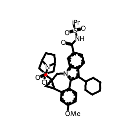 COc1ccc2c(c1)C1CC1(C(=O)N1C3CCC1CN(C)C3)Cn1c-2c(C2CCCCC2)c2ccc(C(=O)NS(=O)(=O)C(C)C)cc21